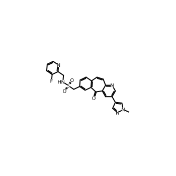 Cn1cc(-c2cnc3ccc4ccc(CS(=O)(=O)NCc5ncccc5F)cc4c(=O)c3c2)cn1